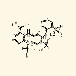 CP(C)(=O)c1ccccc1Nc1nc(Nc2c(OC(F)(F)F)cccc2C(=O)O)ncc1C(F)(F)F